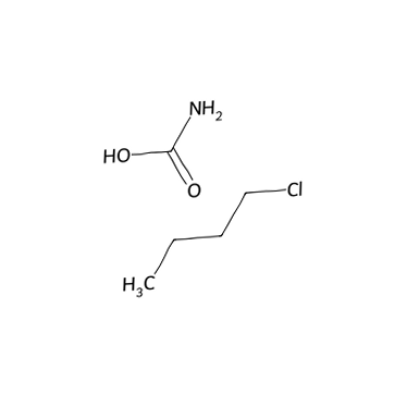 CCCCCl.NC(=O)O